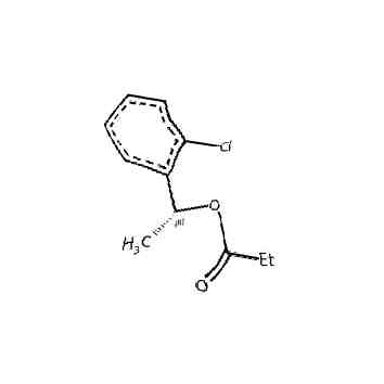 CCC(=O)O[C@H](C)c1ccccc1Cl